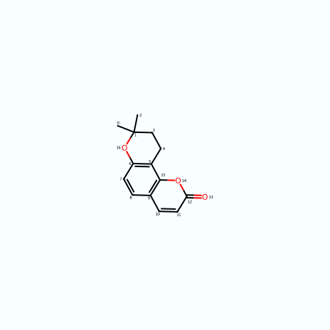 CC1(C)CCc2c(ccc3ccc(=O)oc23)O1